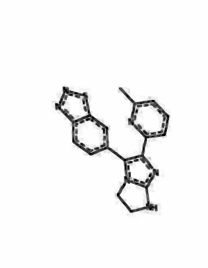 Cc1cccc(-c2nc3n(c2-c2ccc4nnsc4c2)CCN3)n1